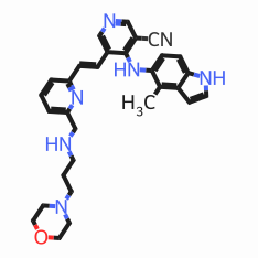 Cc1c(Nc2c(C#N)cncc2C=Cc2cccc(CNCCCN3CCOCC3)n2)ccc2[nH]ccc12